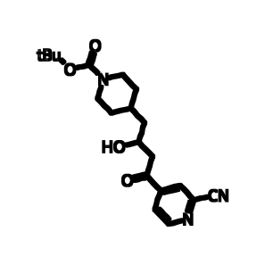 CC(C)(C)OC(=O)N1CCC(CC(O)CC(=O)c2ccnc(C#N)c2)CC1